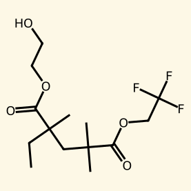 CCC(C)(CC(C)(C)C(=O)OCC(F)(F)F)C(=O)OCCO